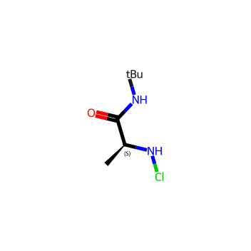 C[C@H](NCl)C(=O)NC(C)(C)C